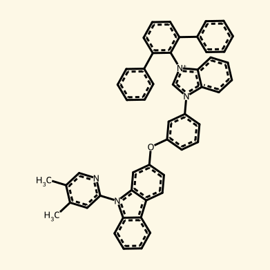 Cc1cnc(-n2c3ccccc3c3ccc(Oc4cccc(-n5c[n+](-c6c(-c7ccccc7)cccc6-c6ccccc6)c6ccccc65)c4)cc32)cc1C